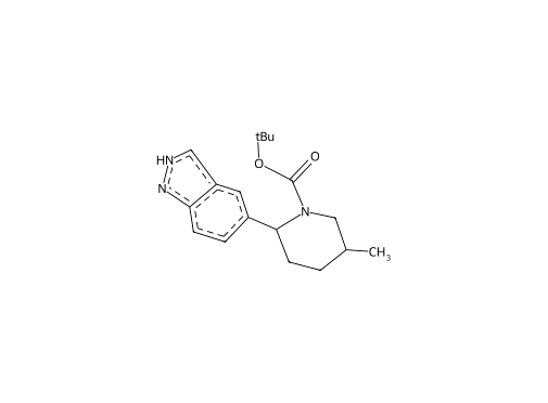 CC1CCC(c2ccc3n[nH]cc3c2)N(C(=O)OC(C)(C)C)C1